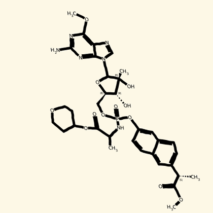 COC(=O)[C@@H](C)c1ccc2cc(OP(=O)(NC(C)C(=O)OC3CCOCC3)OC[C@H]3OC(n4cnc5c(OC)nc(N)nc54)[C@](C)(O)[C@@H]3O)ccc2c1